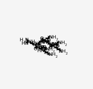 N=C(N)NCCC[C@H](NC(=O)CNC(=O)[C@H](CCCN)NC(=O)CNC(=O)[C@H](CCCCN)NC(=O)CN)C(=O)NCC(=O)NC(CCCN)C(N)=O